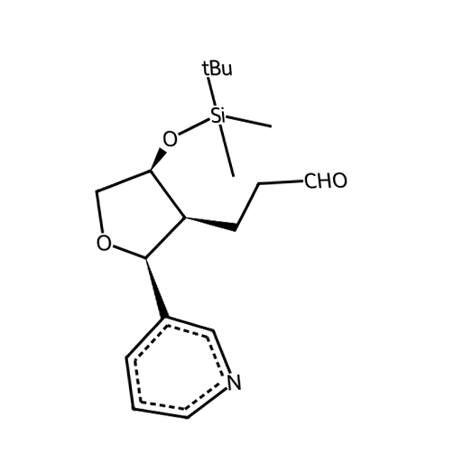 CC(C)(C)[Si](C)(C)O[C@@H]1CO[C@H](c2cccnc2)[C@@H]1CCC=O